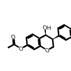 CC(=O)Oc1ccc2c(c1)OC[C@H](c1ccccc1)[C@@H]2O